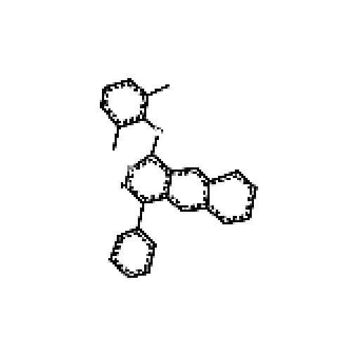 Cc1cccc(C)c1Oc1nnc(-c2ccccc2)c2cc3ccccc3cc12